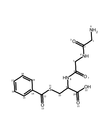 NCC(=O)NCC(=O)NC(CSC(=O)c1ccccc1)C(=O)O